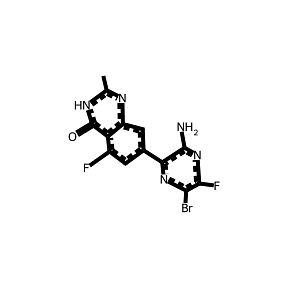 Cc1nc2cc(-c3nc(Br)c(F)nc3N)cc(F)c2c(=O)[nH]1